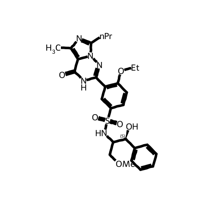 CCCc1nc(C)c2c(=O)[nH]c(-c3cc(S(=O)(=O)NC(COC)[C@@H](O)c4ccccc4)ccc3OCC)nn12